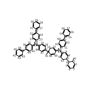 CC1C=CC=CC1C1C=CC(N(C2=CCC(C)(c3ccc(N(c4ccc(-c5ccccc5)cc4)c4ccc(-c5ccccc5)cc4)cc3)C=C2)c2ccc(-c3ccccc3)cc2)=CC1